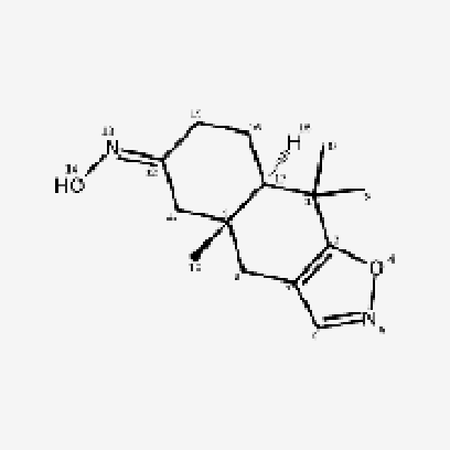 CC1(C)c2oncc2C[C@]2(C)C/C(=N\O)CC[C@@H]12